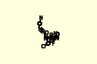 N#Cc1ccc(CN2CCN(C(=O)Cn3cc(NC(=O)c4cnn5cccnc45)c(-c4cc(Cl)ccc4OC(F)F)n3)CC2)cc1